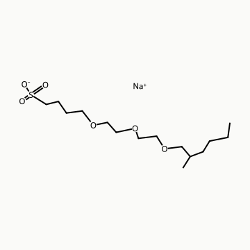 CCCCC(C)COCCOCCOCCCCS(=O)(=O)[O-].[Na+]